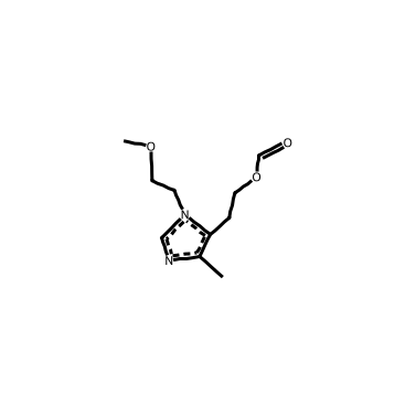 COCCn1cnc(C)c1CCOC=O